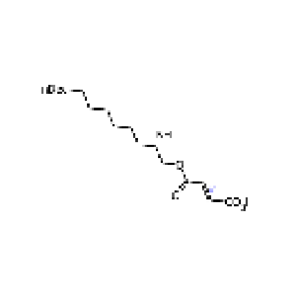 CCCCCCCCCCCCCCCCCCOC(=O)/C=C/C(=O)O.[KH]